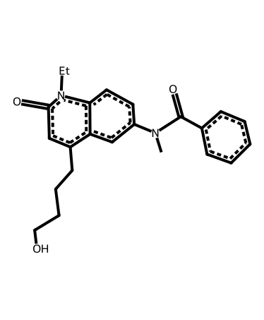 CCn1c(=O)cc(CCCCO)c2cc(N(C)C(=O)c3ccccc3)ccc21